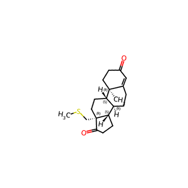 CSC[C@]12CC[C@H]3[C@@H](CCC4=CC(=O)CC[C@@]43C)[C@@H]1CCC2=O